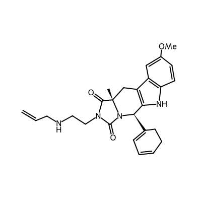 C=CCNCCN1C(=O)N2[C@H](C3=CC=CCC3)c3[nH]c4ccc(OC)cc4c3C[C@@]2(C)C1=O